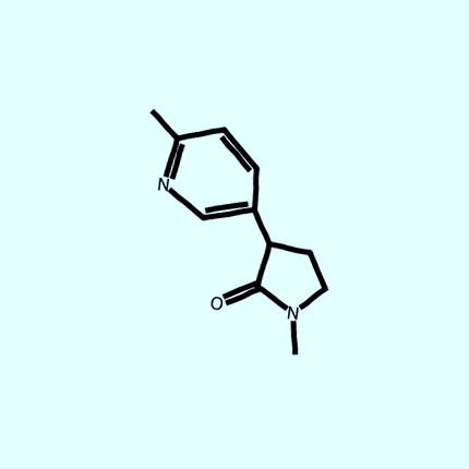 Cc1ccc(C2CCN(C)C2=O)cn1